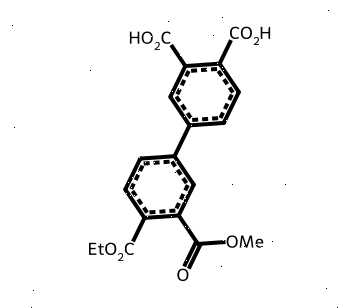 CCOC(=O)c1ccc(-c2ccc(C(=O)O)c(C(=O)O)c2)cc1C(=O)OC